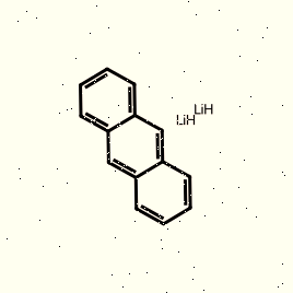 [LiH].[LiH].c1ccc2cc3ccccc3cc2c1